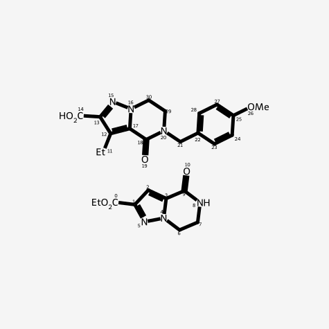 CCOC(=O)c1cc2n(n1)CCNC2=O.CCc1c(C(=O)O)nn2c1C(=O)N(Cc1ccc(OC)cc1)CC2